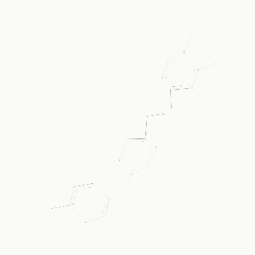 CCCc1c(OCc2ccc(Cc3ccc(C(=O)O)cc3)cc2)ccc(C(C)=O)c1O